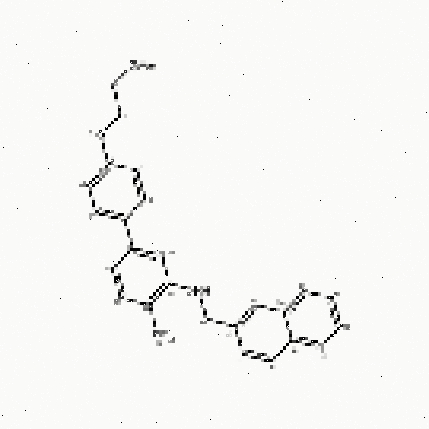 COCCOc1ccc(-c2ccc(N)c(NCc3ccc4ncccc4c3)n2)cc1